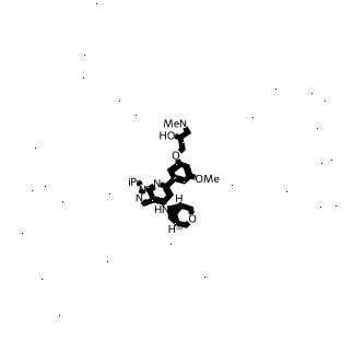 CNCC(O)COc1cc(OC)cc(-c2cc(NC3[C@@H]4CC[C@@H]3COC4)c3cnn(C(C)C)c3n2)c1